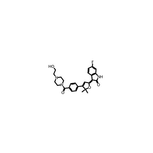 CC1(C)OC(=C2C(=O)Nc3cc(F)ccc32)C=C1c1ccc(C(=O)N2CCN(CCO)CC2)cc1